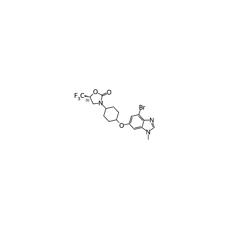 Cn1cnc2c(Br)cc(OC3CCC(N4C[C@@H](C(F)(F)F)OC4=O)CC3)cc21